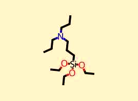 CCCN(CCC)CCC[Si](OCC)(OCC)OCC